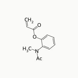 C=CC(=O)Oc1ccccc1N(C)C(C)=O